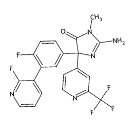 CN1C(=O)C(c2ccnc(C(F)(F)F)c2)(c2ccc(F)c(-c3cccnc3F)c2)N=C1N